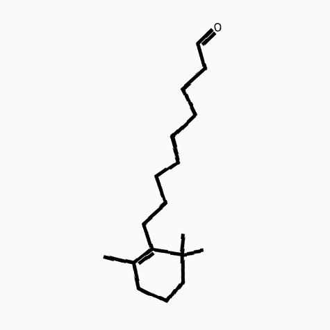 CC1=C(CCCCCCCCC=O)C(C)(C)CCC1